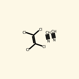 C#N.C#N.ClC(Cl)=C(Cl)Cl